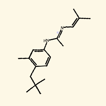 CC(C)=C/N=C(\C)Nc1ccc(CC(C)(C)C)c(C)c1